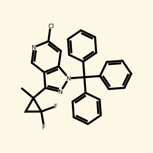 CC1(c2nn(C(c3ccccc3)(c3ccccc3)c3ccccc3)c3cc(Cl)ncc23)CC1(F)F